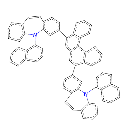 C1=Cc2ccc(-c3cc4cc(-c5ccc6c(c5)N(c5cccc7ccccc57)c5ccccc5C=C6)c5ccccc5c4c4ccccc34)cc2N(c2cccc3ccccc23)c2ccccc21